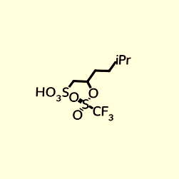 CC(C)CCC(CS(=O)(=O)O)OS(=O)(=O)C(F)(F)F